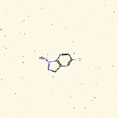 CC(C)(C)N1CCc2cc(Cl)ccc21